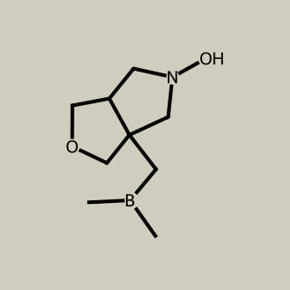 CB(C)CC12COCC1CN(O)C2